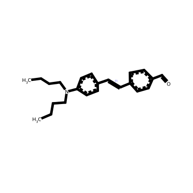 CCCCN(CCCC)c1ccc(/C=C/c2ccc(C=O)cc2)cc1